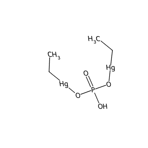 C[CH2][Hg][O]P(=O)(O)[O][Hg][CH2]C